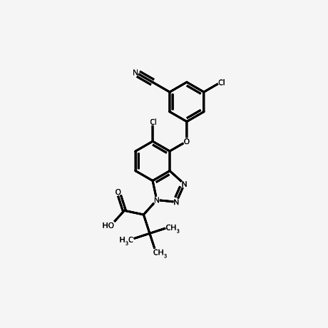 CC(C)(C)C(C(=O)O)n1nnc2c(Oc3cc(Cl)cc(C#N)c3)c(Cl)ccc21